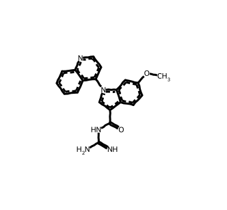 COc1ccc2c(C(=O)NC(=N)N)cn(-c3ccnc4ccccc34)c2c1